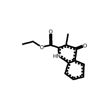 CCOC(=O)c1[nH]c2ccccc2c(=O)c1C